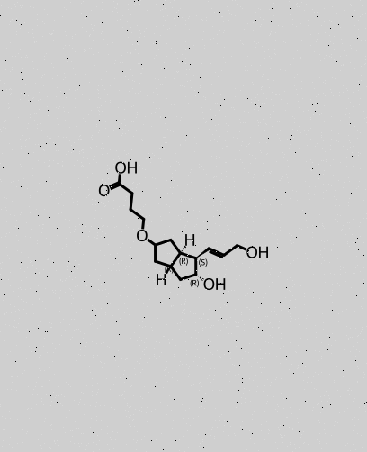 O=C(O)CCCOC1C[C@H]2C[C@@H](O)[C@H](C=CCO)[C@@H]2C1